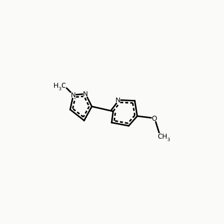 COc1ccc(-c2ccn(C)n2)nc1